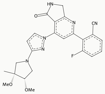 CO[C@H]1CN(c2ccn(-c3cc(-c4c(F)cccc4C#N)nc4c3C(=O)NC4)n2)C[C@@]1(C)OC